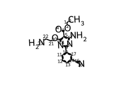 CCOC(=O)c1c(N)nc(-c2cccc(C#N)c2)nc1OCCN